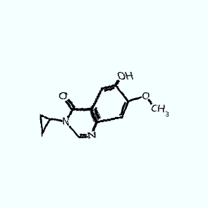 COc1cc2ncn(C3CC3)c(=O)c2cc1O